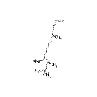 C=C(CC/C=C/CCCCCC)CCCCCCCC(CCCCC)CN(C)CCN(C)C